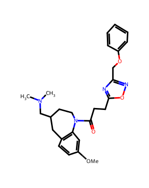 COc1ccc2c(c1)N(C(=O)CCc1nc(COc3ccccc3)no1)CCC(CN(C)C)C2